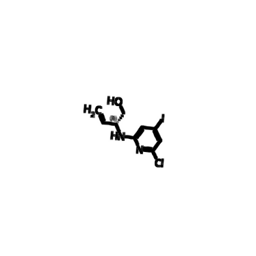 C=C[C@H](CO)Nc1cc(I)cc(Cl)n1